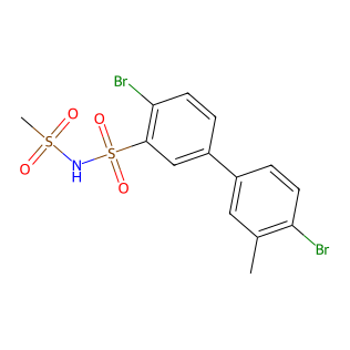 Cc1cc(-c2ccc(Br)c(S(=O)(=O)NS(C)(=O)=O)c2)ccc1Br